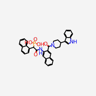 O=C(Nc1cc2ccccc2cc1C(=O)N1CCC(c2c[nH]c3ccccc23)CC1)C(c1cccc2ccccc12)P(=O)(O)O